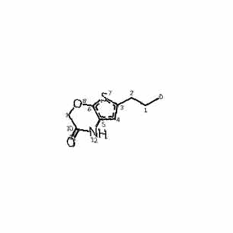 CCCc1cc2c(s1)OCC(=O)N2